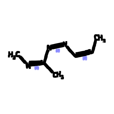 C\C=C/N=N\C(C)=N/C